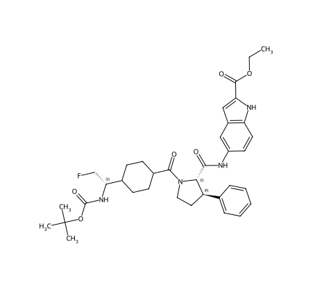 CCOC(=O)c1cc2cc(NC(=O)[C@@H]3[C@@H](c4ccccc4)CCN3C(=O)C3CCC([C@@H](CF)NC(=O)OC(C)(C)C)CC3)ccc2[nH]1